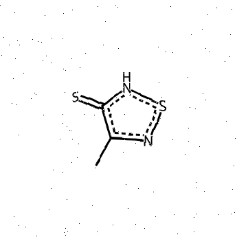 Cc1ns[nH]c1=S